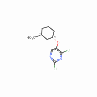 O=C(O)[C@H]1CCC[C@H](Oc2cnc(Cl)nc2Cl)C1